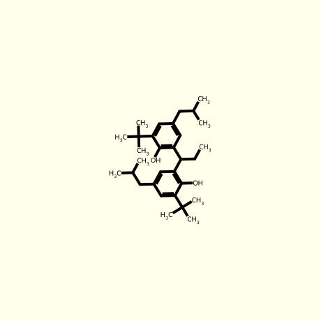 CCC(c1cc(CC(C)C)cc(C(C)(C)C)c1O)c1cc(CC(C)C)cc(C(C)(C)C)c1O